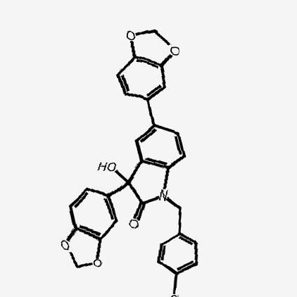 O=C1N(Cc2ccc(Cl)cc2)c2ccc(-c3ccc4c(c3)OCO4)cc2C1(O)c1ccc2c(c1)OCO2